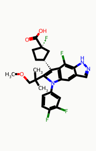 COCC(C)(C)c1c([C@@H]2CC[C@@](F)(C(=O)O)C2)c2c(F)c3[nH]ncc3cc2n1-c1ccc(F)c(F)c1